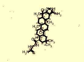 CC1(C)CC2C3=CCC4[C@@]5(C)Cc6c(n[nH]c6N)C(C)(C)C5CC[C@@]4(C)[C@]3(C)CC[C@@H]2[C@H](C(=O)NNC(N)=S)C1